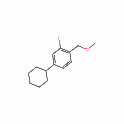 COCc1ccc(C2CCCCC2)cc1F